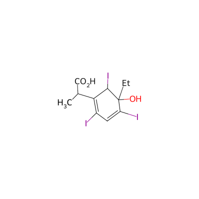 CCC1(O)C(I)=CC(I)=C(C(C)C(=O)O)C1I